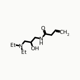 C=CCC(=O)NCC(O)CN(CC)CC